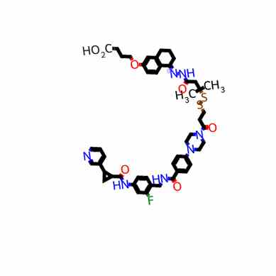 CC(C)(CC(=O)N/N=C1\CCCc2cc(OCCCC(=O)O)ccc21)SSCCC(=O)N1CCN(c2ccc(C(=O)NCc3ccc(NC(=O)C4CC4c4cccnc4)cc3F)cc2)CC1